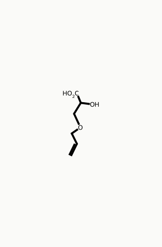 C=CCOCC(O)C(=O)O